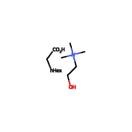 CCCCCCCC(=O)O.C[N+](C)(C)CCO